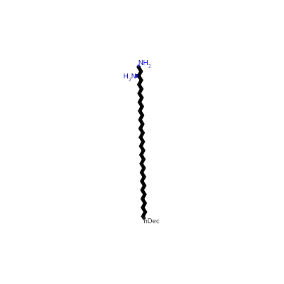 CCCCCCCCCCCCCCCCCCCCCCCCCCCCCCCCCCCCCCCCCCC(N)CCN